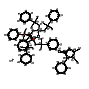 CC(C)([CH2][Sn]([CH2]C(C)(C)c1ccccc1)([CH2]C(C)(C)c1ccccc1)[O][Sn]([CH2]C(C)(C)c1ccccc1)([CH2]C(C)(C)c1ccccc1)[CH2]C(C)(C)c1ccccc1)c1ccccc1.Cc1cc(=O)n(-c2ccccc2)n1C.[I-]